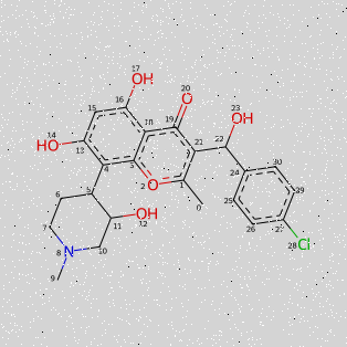 Cc1oc2c(C3CCN(C)CC3O)c(O)cc(O)c2c(=O)c1C(O)c1ccc(Cl)cc1